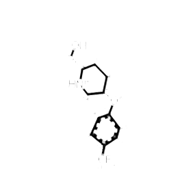 OC[C@@H]1CC[C@H](Oc2ccc(C(F)(F)F)cc2)CN1